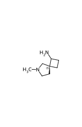 CN1CC[C@@]2(CCC2N)C1